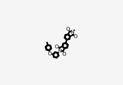 Cc1ccc(Oc2cccc(N3C(=O)c4ccc(-c5ccc6c(c5)C(=O)N(C)C6=O)cc4C3=O)c2)cc1